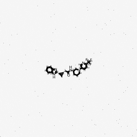 O=C(C[C@@H]1C[C@@H]1c1nc2ccccc2[nH]1)N[C@@H]1CCCN(c2ccc(C(F)(F)F)nc2)C1